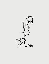 C=N/C=C1\C(=N/Cc2ncccn2)CCN(c2cc(F)c(Cl)c(OC)c2)C1C